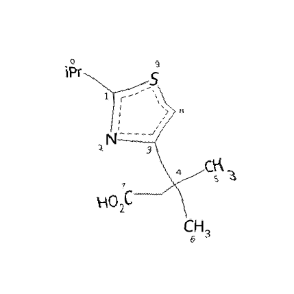 CC(C)c1nc(C(C)(C)C(=O)O)cs1